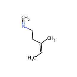 C=NCC/C(C)=C\C